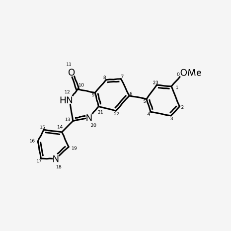 COc1cccc(-c2ccc3c(=O)[nH]c(-c4cccnc4)nc3c2)c1